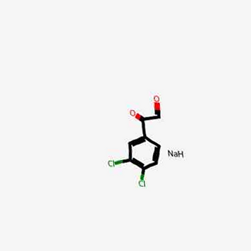 O=CC(=O)c1ccc(Cl)c(Cl)c1.[NaH]